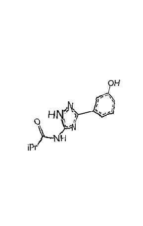 CC(C)C(=O)Nc1nc(-c2cccc(O)c2)n[nH]1